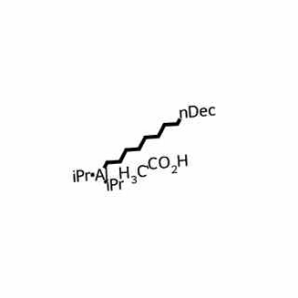 CC(=O)O.CCCCCCCCCCCCCCCCC[CH2][Al]([CH](C)C)[CH](C)C